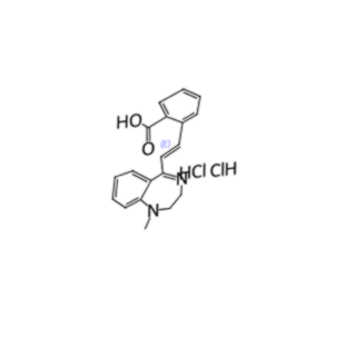 CN1CCN=C(/C=C/c2ccccc2C(=O)O)c2ccccc21.Cl.Cl